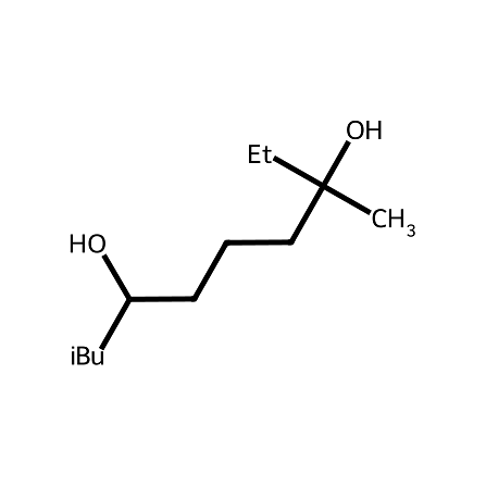 CCC(C)C(O)CCCC(C)(O)CC